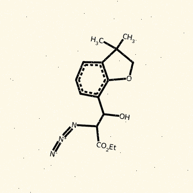 CCOC(=O)C(N=[N+]=[N-])C(O)c1cccc2c1OCC2(C)C